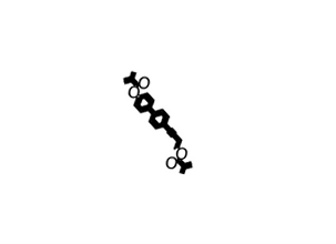 C=C(C)C(=O)OCCC#Cc1ccc(-c2ccc(OC(=O)C(=C)C)cc2)cc1